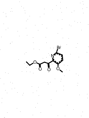 CCOC(=O)CC(=O)c1nc(Br)ccc1OC